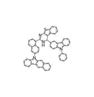 c1ccc(-n2c3ccccc3c3cc(C4NC(c5cccc6cc(-n7c8ccccc8c8cc9ccccc9cc87)ccc56)=Nc5sc6ccccc6c54)ccc32)cc1